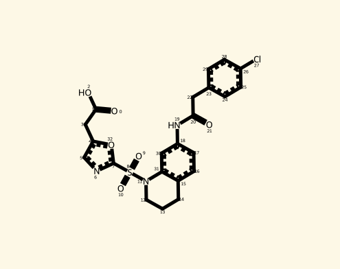 O=C(O)Cc1cnc(S(=O)(=O)N2CCCc3ccc(NC(=O)Cc4ccc(Cl)cc4)cc32)o1